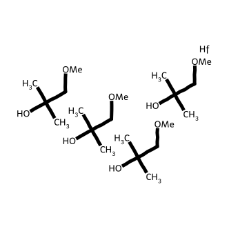 COCC(C)(C)O.COCC(C)(C)O.COCC(C)(C)O.COCC(C)(C)O.[Hf]